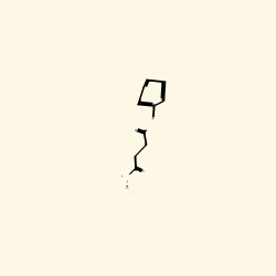 CCCCCCCCNC(=O)[CH]CC(=O)Oc1ccccc1